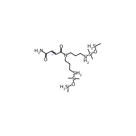 C[SiH2]O[Si](C)(C)[SiH2]CCCN(CCC[SiH2][Si](C)(C)O[SiH2]C)C(=O)/C=C/C(N)=O